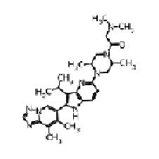 Cc1c(-c2[nH]c3ccc(N4C[C@H](C)N(C(=O)CN(C)C)C[C@@H]4C)nc3c2C(C)C)cn2ncnc2c1C